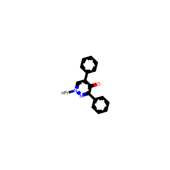 CCCn1cc(-c2ccccc2)c(=O)c(-c2ccccc2)n1